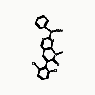 CSN(c1ccccc1)c1ncc2cc(-c3c(Cl)cccc3Cl)c(=O)n(C)c2n1